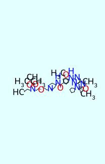 C#CCCN(CCOCCN1CCC(NC(=O)c2ccc(Nc3ncc4c(n3)N(C3CCCC3)[C@H](CC)C(=O)N4C)c(OC)c2)CC1)C(=O)OC(C)(C)C